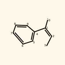 [CH2]/C(=C/C)c1ccccc1